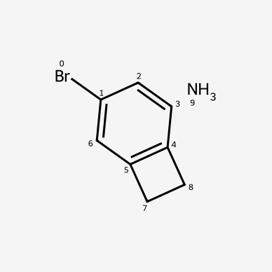 Brc1ccc2c(c1)CC2.N